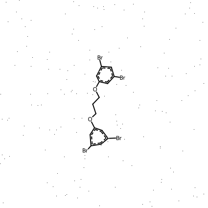 Brc1cc(Br)cc(OCCCOc2cc(Br)cc(Br)c2)c1